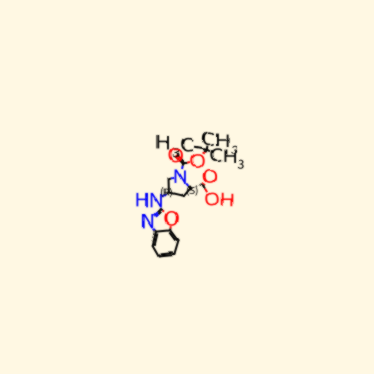 CC(C)(C)OC(=O)N1C[C@H](Nc2nc3ccccc3o2)C[C@H]1C(=O)O